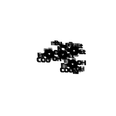 CCCCC(=Nc1ccc(CC)c(CC)c1)C(CCCC)=Nc1ccc(CC)c(CC)c1.CCc1ccc(O)c(O)c1C(=O)[O-].CCc1ccc(O)c(O)c1C(=O)[O-].[Ni+2]